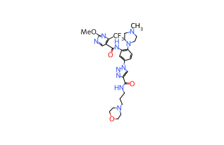 COc1ncc(C(=O)Nc2cc(-n3cc(C(=O)NCCCN4CCOCC4)nn3)ccc2N2CCN(C)CC2)c(C(F)(F)F)n1